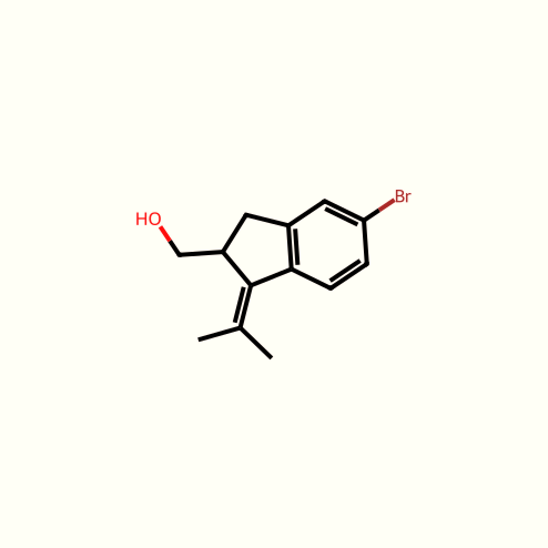 CC(C)=C1c2ccc(Br)cc2CC1CO